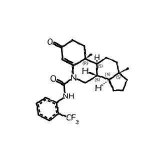 C[C@@]12CCC[C@H]1[C@@H]1CN(C(=O)Nc3ccccc3C(F)(F)F)C3=CC(=O)CC[C@]3(C)[C@H]1CC2